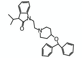 CC(C)C1C(=O)N(CCN2CCC(OC(c3ccccc3)c3ccccc3)CC2)c2ccccc21